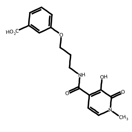 Cn1ccc(C(=O)NCCCOc2cccc(C(=O)O)c2)c(O)c1=O